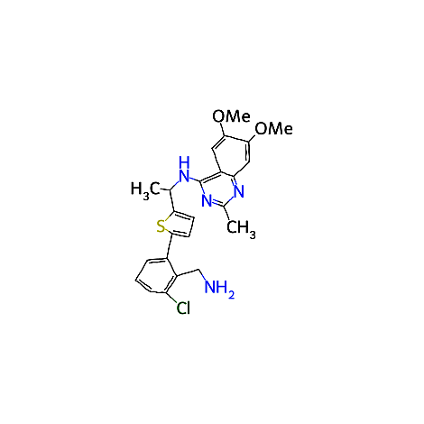 COc1cc2nc(C)nc(NC(C)c3ccc(-c4cccc(Cl)c4CN)s3)c2cc1OC